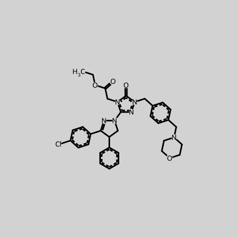 CCOC(=O)Cn1c(N2CC(c3ccccc3)C(c3ccc(Cl)cc3)=N2)nn(Cc2ccc(CN3CCOCC3)cc2)c1=O